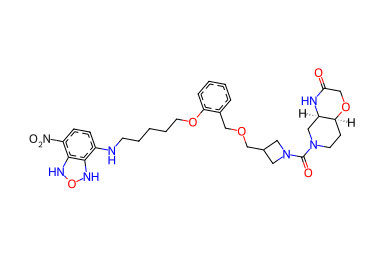 O=C1CO[C@H]2CCN(C(=O)N3CC(COCc4ccccc4OCCCCCNc4ccc([N+](=O)[O-])c5c4NON5)C3)C[C@H]2N1